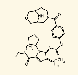 C=C=C(/N=C1\C(=C/C)C=C(C(=O)N(C)C)N1C1CCCC1)Nc1ccc(C(=O)N2CCC3COCC(C2)N3)cn1